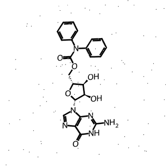 Nc1nc2c(ncn2[C@@H]2O[C@H](COC(=O)N(c3ccccc3)c3ccccc3)[C@@H](O)[C@H]2O)c(=O)[nH]1